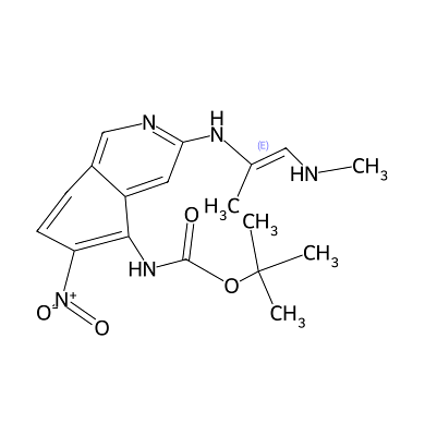 CN/C=C(\C)Nc1cc2c(NC(=O)OC(C)(C)C)c([N+](=O)[O-])ccc2cn1